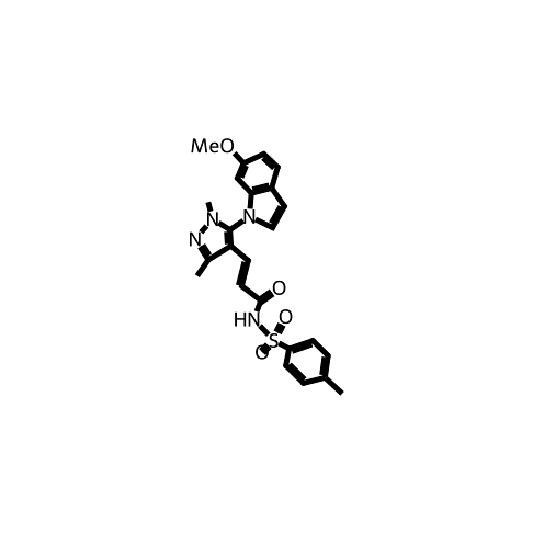 COc1ccc2ccn(-c3c(C=CC(=O)NS(=O)(=O)c4ccc(C)cc4)c(C)nn3C)c2c1